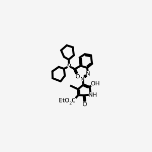 CCOC(=O)c1c(C)c(/N=N/c2ccccc2C(=O)N(C2CCCCC2)C2CCCCC2)c(O)[nH]c1=O